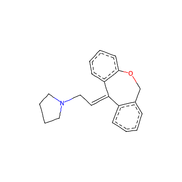 C(CN1CCCC1)=C1c2ccccc2COc2ccccc21